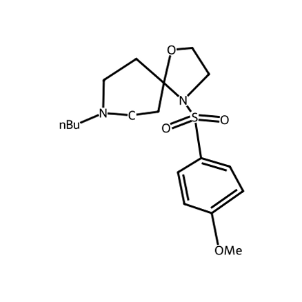 CCCCN1CCC2(CC1)OCCN2S(=O)(=O)c1ccc(OC)cc1